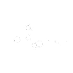 Cc1nn2ccc(CN3CCN(C(=O)OC(C)(C)C)CC3)cc2c1-c1nc(Cc2ccc(Cl)cc2)c(-c2nnc[nH]2)s1